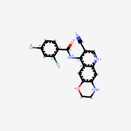 N#Cc1cnc2cc3c(cc2c1NC(=O)c1ccc(Cl)cc1Cl)OCCN3